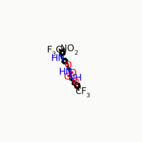 O=C(NCCOc1ccc(Nc2ccc([N+](=O)[O-])c(C(F)(F)F)c2)cc1)C(=O)NCc1cc2cc(C(F)(F)F)ccc2o1